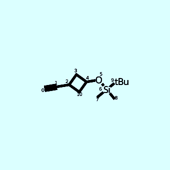 C#CC1CC(O[Si](C)(C)C(C)(C)C)C1